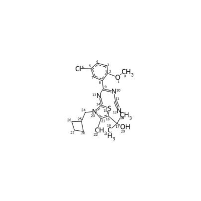 COc1ccc(Cl)cc1C(=NC#N)N=c1sc(C(C)(C)O)c(C)n1CC1CCC1